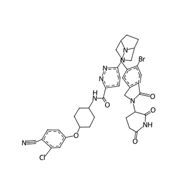 N#Cc1ccc(OC2CCC(NC(=O)c3ccc(N4CC5CCC(C4)N5Cc4cc5c(cc4Br)C(=O)N(C4CCC(=O)NC4=O)C5)nn3)CC2)cc1Cl